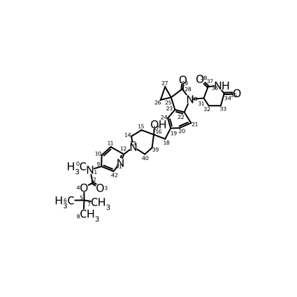 CN(C(=O)OC(C)(C)C)c1ccc(N2CCC(O)(Cc3ccc4c(c3)C3(CC3)C(=O)N4C3CCC(=O)NC3=O)CC2)nc1